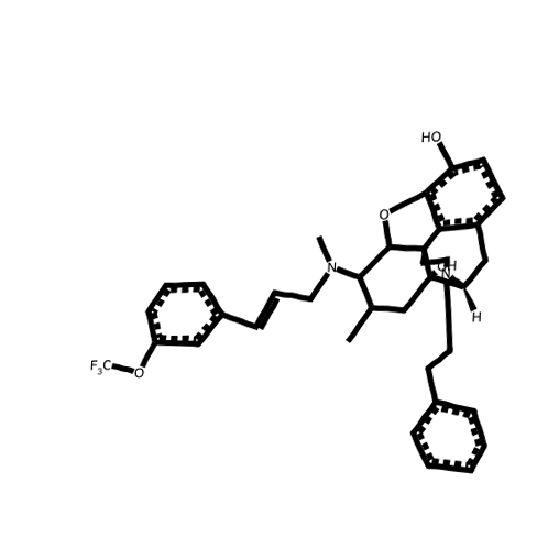 CC1C[C@@]2(O)[C@H]3Cc4ccc(O)c5c4[C@@]2(CCN3CCc2ccccc2)C(O5)C1N(C)C/C=C/c1cccc(OC(F)(F)F)c1